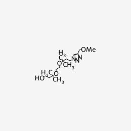 COCc1cn(CCC(C)(C)OCCOC(C)(C)CCO)nn1